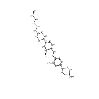 CCCC1CCC(c2ccc(CCc3ccc(C4CCC(CCCCCF)CC4)cc3F)c(F)c2)CC1